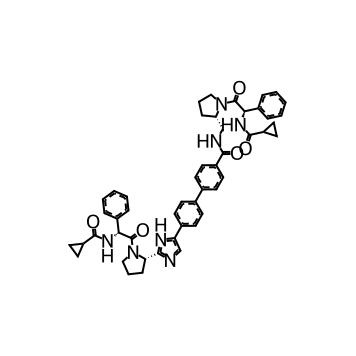 O=C(NC[C@@H]1CCCN1C(=O)[C@H](NC(=O)C1CC1)c1ccccc1)c1ccc(-c2ccc(-c3cnc([C@@H]4CCCN4C(=O)[C@H](NC(=O)C4CC4)c4ccccc4)[nH]3)cc2)cc1